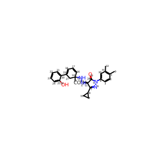 Cc1ccc(N2N=C(C3CC3)/C(=N/NC3(C(=O)O)C=CC=C(c4ccccc4O)C3)C2=O)cc1C